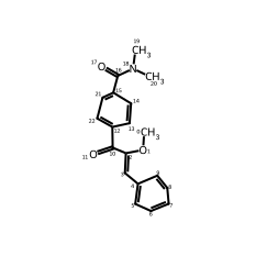 COC(=Cc1ccccc1)C(=O)c1ccc(C(=O)N(C)C)cc1